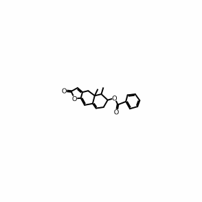 CC1C(OC(=O)c2ccccc2)CC=C2C=C3OC(=O)C=C3CC21C